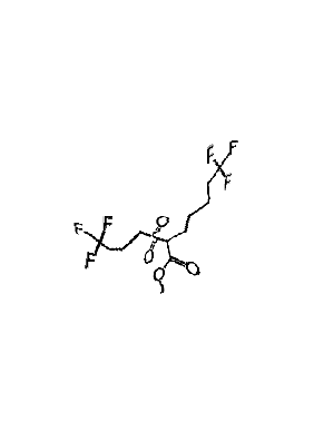 COC(=O)C(CCCCC(F)(F)F)S(=O)(=O)CCC(F)(F)F